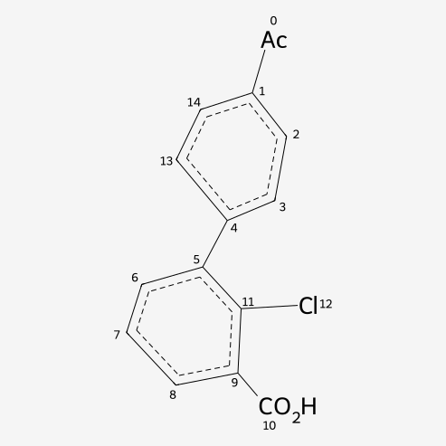 CC(=O)c1ccc(-c2cccc(C(=O)O)c2Cl)cc1